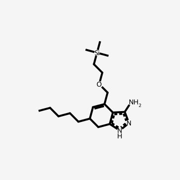 CCCCCC1C=C(COCC[Si](C)(C)C)c2c(N)n[nH]c2C1